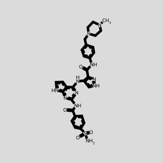 CN1CCN(Cc2ccc(NC(=O)c3n[nH]cc3Nc3nc(NC(=O)c4ccc(S(N)(=O)=O)cc4)nc4[nH]ccc34)cc2)CC1